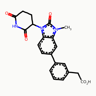 Cn1c(=O)n(C2CCC(=O)NC2=O)c2ccc(-c3cccc(CC(=O)O)c3)cc21